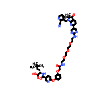 CC(C)(C)CC[C@H](NC(=O)c1ccc(Oc2cccc(OCC(=O)NCCOCCOCCOCCNc3ncc(-c4ccc5c(n4)N(Cc4cccnc4C#N)C(C)(C)C5=O)cn3)c2)nc1)C(=O)O